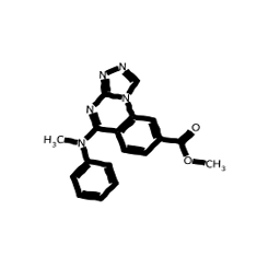 COC(=O)c1ccc2c(N(C)c3ccccc3)nc3nncn3c2c1